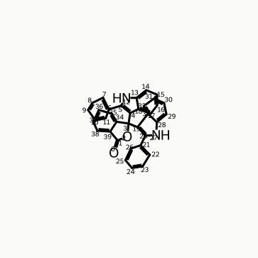 O=C1OC(c2c(-c3ccccc3)[nH]c3ccccc23)(c2c(-c3ccccc3)[nH]c3ccccc23)c2ccccc21